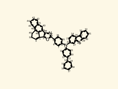 C1=C2c3oc(-c4ccc(N(c5ccc(-c6ccccc6)cc5)c5ccc6c(c5)sc5ccccc56)cc4)nc3-c3cc4ccccc4c(c32)CC1